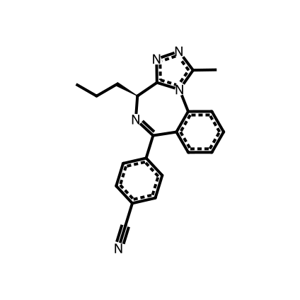 CCC[C@@H]1N=C(c2ccc(C#N)cc2)c2ccccc2-n2c(C)nnc21